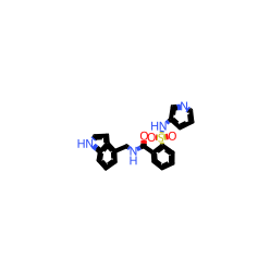 O=C(NCc1cccc2[nH]ccc12)c1ccccc1S(=O)(=O)Nc1cccnc1